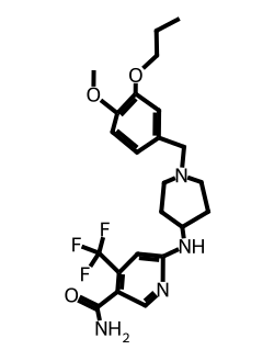 CCCOc1cc(CN2CCC(Nc3cc(C(F)(F)F)c(C(N)=O)cn3)CC2)ccc1OC